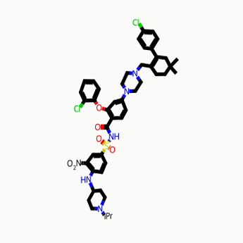 CC(C)N1CCC(Nc2ccc(S(=O)(=O)NC(=O)c3ccc(N4CCN(CC5=C(c6ccc(Cl)cc6)CC(C)(C)CC5)CC4)cc3Oc3ccccc3Cl)cc2[N+](=O)[O-])CC1